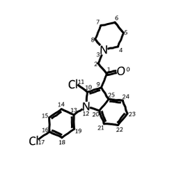 O=C(CN1CCCCC1)c1c(Cl)n(-c2ccc(Cl)cc2)c2ccccc12